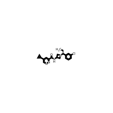 CC[C@@H](c1cccc(Cl)c1)N1CC(NC(=O)c2cc(C3CC3)cnn2)C1